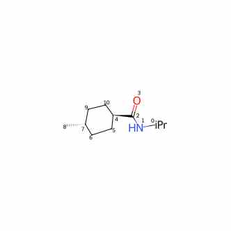 CC(C)NC(=O)[C@H]1CC[C@H](C)CC1